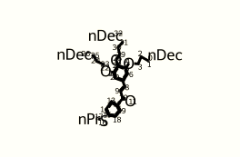 CCCCCCCCCCCCCOc1cc(/C=C/C(=O)c2ccc(SCCC)cc2)cc(OCCCCCCCCCCCCC)c1OCCCCCCCCCCCCC